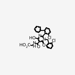 O=C(O)CNC(=O)c1c(O)nc(-c2c(Cl)cccc2-c2ccccc2)n(Cc2ccccc2Cl)c1=O